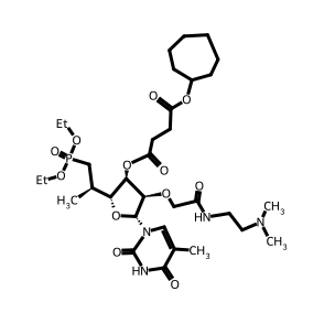 CCOP(=O)(C[C@H](C)[C@H]1O[C@@H](n2cc(C)c(=O)[nH]c2=O)[C@H](OCC(=O)NCCN(C)C)[C@@H]1OC(=O)CCC(=O)OC1CCCCCC1)OCC